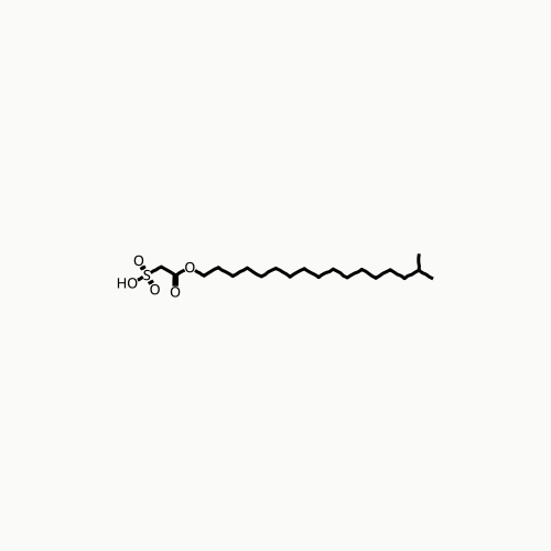 CC(C)CCCCCCCCCCCCCCCOC(=O)CS(=O)(=O)O